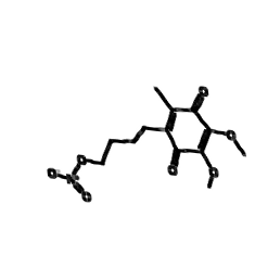 COC1=C(OC)C(=O)C(CCCCO[N+](=O)[O-])=C(C)C1=O